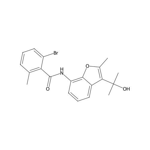 Cc1cccc(Br)c1C(=O)Nc1cccc2c(C(C)(C)O)c(C)oc12